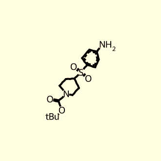 CC(C)(C)OC(=O)N1CCC(S(=O)(=O)c2ccc(N)cc2)CC1